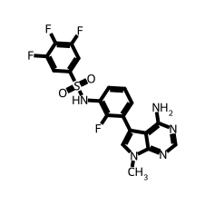 Cn1cc(-c2cccc(NS(=O)(=O)c3cc(F)c(F)c(F)c3)c2F)c2c(N)ncnc21